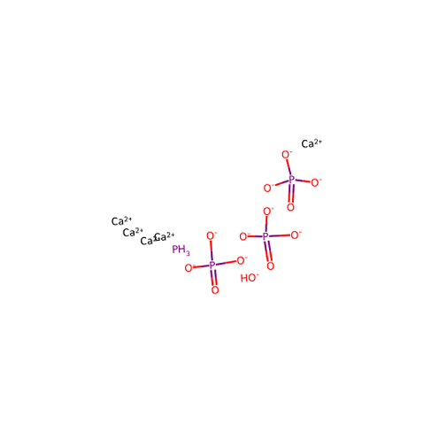 O=P([O-])([O-])[O-].O=P([O-])([O-])[O-].O=P([O-])([O-])[O-].P.[Ca+2].[Ca+2].[Ca+2].[Ca+2].[Ca+2].[OH-]